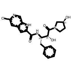 O=C(N[C@@H](Cc1ccccc1)[C@@H](O)C(=O)N1CC[C@H](O)C1)c1cc2cc(Cl)ncc2[nH]1